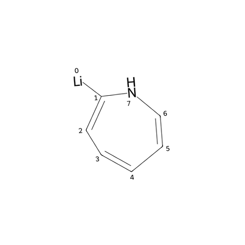 [Li][C]1=CC=CC=CN1